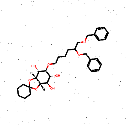 O[C@@H]1[C@@H](O)[C@@H]2OC3(CCCCC3)O[C@@H]2[C@H](O)[C@H]1OCCCCC(COCc1ccccc1)OCc1ccccc1